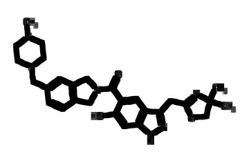 CN1CCN(Cc2ccc3c(c2)CN(C(=O)c2cc4c(CC5=NC(C)(C)CO5)n[nH]c4cc2O)C3)CC1